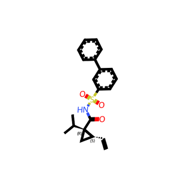 C=C[C@@H]1C[C@@]1(C(=O)NS(=O)(=O)c1cccc(-c2ccccc2)c1)C(C)C